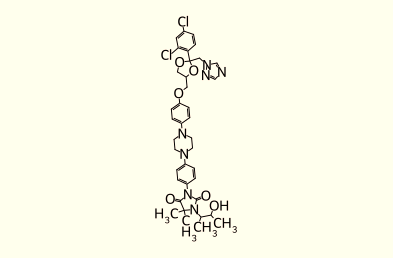 CC(O)C(C)N1C(=O)N(c2ccc(N3CCN(c4ccc(OCC5COC(Cn6cncn6)(c6ccc(Cl)cc6Cl)O5)cc4)CC3)cc2)C(=O)C1(C)C